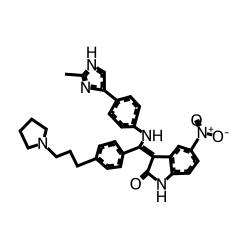 Cc1nc(-c2ccc(NC(=C3C(=O)Nc4ccc([N+](=O)[O-])cc43)c3ccc(CCCN4CCCC4)cc3)cc2)c[nH]1